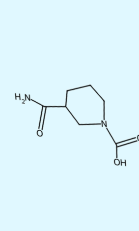 NC(=O)C1CCCN(C(=O)O)C1